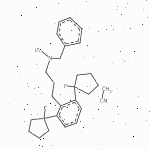 CC#N.CC(C)N(CCCc1c(C2(F)CCCC2)cccc1C1(F)CCCC1)Cc1ccccc1